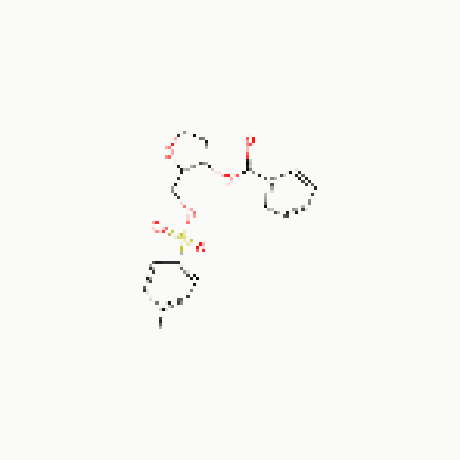 Cc1ccc(S(=O)(=O)OCC2OCCC2OC(=O)c2ccccc2)cc1